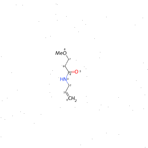 C=CCNC(=O)CCOC